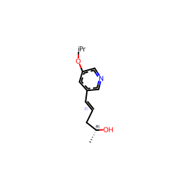 CC(C)Oc1cncc(/C=C/C[C@@H](C)O)c1